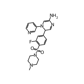 CN1CCN(S(=O)(=O)c2ccc(C3C=NC(N)=CN3c3cccnc3)cc2F)CC1